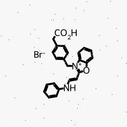 O=C(O)Cc1ccc(C[n+]2c(/C=C/Nc3ccccc3)oc3ccccc32)cc1.[Br-]